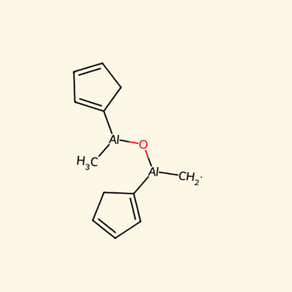 [CH2][Al]([O][Al]([CH3])[C]1=CC=CC1)[C]1=CC=CC1